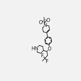 CC(F)(F)CC(Oc1ccc(C2=CCN(S(C)(=O)=O)CC2)cc1)C1CCNCC1